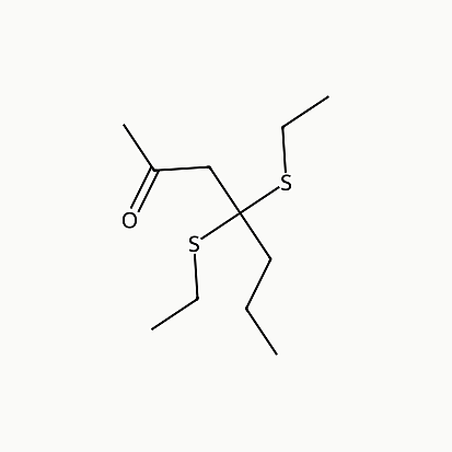 CCCC(CC(C)=O)(SCC)SCC